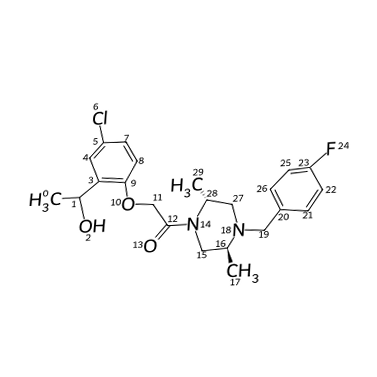 CC(O)c1cc(Cl)ccc1OCC(=O)N1C[C@H](C)N(Cc2ccc(F)cc2)C[C@H]1C